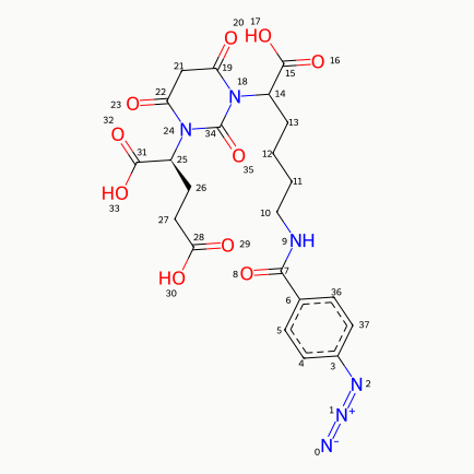 [N-]=[N+]=Nc1ccc(C(=O)NCCCCC(C(=O)O)N2C(=O)CC(=O)N([C@@H](CCC(=O)O)C(=O)O)C2=O)cc1